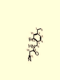 CCc1ccc(CNC(=O)CC#N)c(F)c1